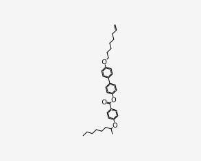 C=CCCCCCCOc1ccc(-c2ccc(OC(=O)c3ccc(OC(C)CCCCCC)cc3)cc2)cc1